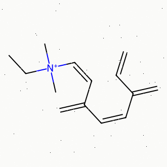 C=CC(=C)/C=C\C(=C)/C=C\[N+](C)(C)CC